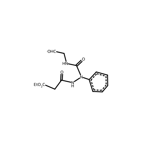 CCOC(=O)CC(=O)NN(C(=O)NC[C]=O)c1ccccc1